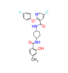 Cc1ccc(C(=O)NC2CCC(NC(=O)c3cc(F)cnc3Oc3ccc(F)cc3)CC2)c(O)c1